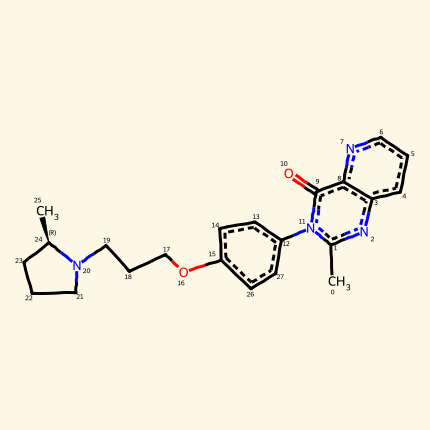 Cc1nc2cccnc2c(=O)n1-c1ccc(OCCCN2CCC[C@H]2C)cc1